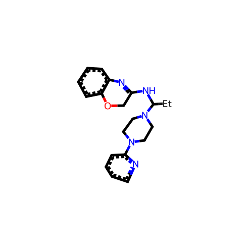 CCC(NC1=Nc2ccccc2OC1)N1CCN(c2ccccn2)CC1